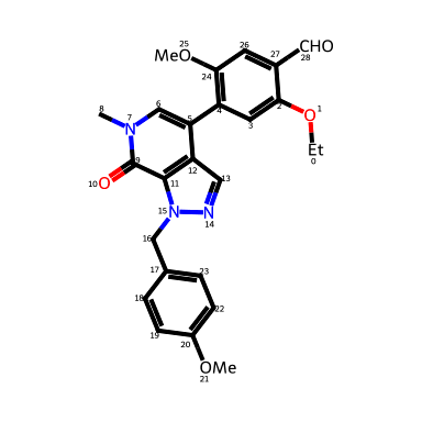 CCOc1cc(-c2cn(C)c(=O)c3c2cnn3Cc2ccc(OC)cc2)c(OC)cc1C=O